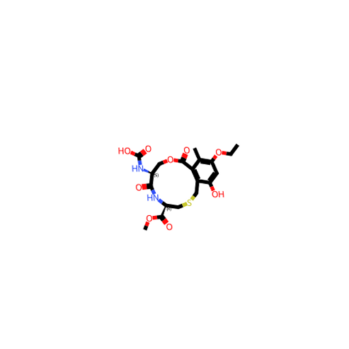 CCOc1cc(O)c2c(c1C)C(=O)OC[C@H](NC(=O)O)C(=O)N[C@H](C(=O)OC)CSC2